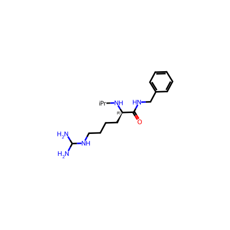 CC(C)N[C@H](CCCCNC(N)N)C(=O)NCc1ccccc1